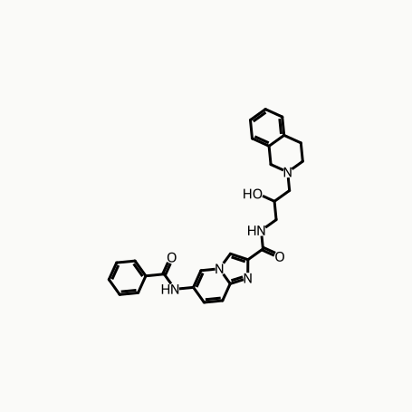 O=C(Nc1ccc2nc(C(=O)NCC(O)CN3CCc4ccccc4C3)cn2c1)c1ccccc1